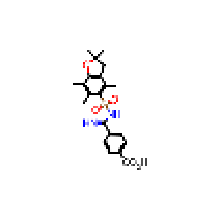 Cc1c(C)c(S(=O)(=O)NC(=N)c2ccc(C(=O)O)cc2)c(C)c2c1OC(C)(C)C2